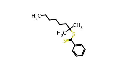 CCCCCCC(C)(C)SC(=S)c1ccccc1